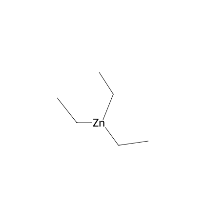 C[CH2][Zn]([CH2]C)[CH2]C